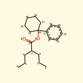 CCCC(CCC)C(=O)OC1(c2ccccc2)CCCCC1